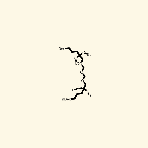 CCCCCCCCCCCCCC(COCOCOCC(CCCCCCCCCCCCC)(OCC)OCC)(OCC)OCC